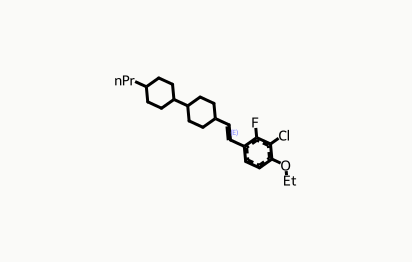 CCCC1CCC(C2CCC(/C=C/c3ccc(OCC)c(Cl)c3F)CC2)CC1